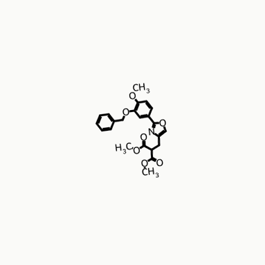 COC(=O)C(Cc1coc(-c2ccc(OC)c(OCc3ccccc3)c2)n1)C(=O)OC